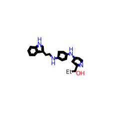 CCC(O)c1cc(Nc2ccc(NCCc3c[nH]c4ccccc34)cc2)ccn1